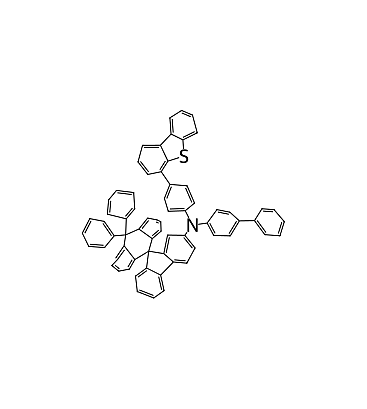 c1ccc(-c2ccc(N(c3ccc(-c4cccc5c4sc4ccccc45)cc3)c3ccc4c(c3)C3(c5ccccc5-4)c4ccccc4C(c4ccccc4)(c4ccccc4)c4ccccc43)cc2)cc1